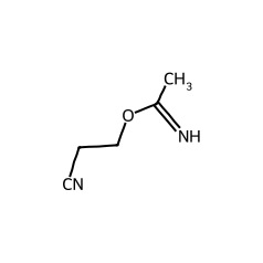 CC(=N)OCCC#N